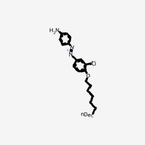 CCCCCCCCCCCCCCCCOc1ccc(/N=N/c2ccc(N)cc2)cc1Cl